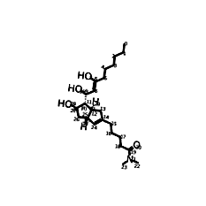 CCCCCCC(O)=CC(O)[C@@H]1[C@H]2CC(CCCCC(=O)N(C)C)=C[C@@H]2C[C@H]1O